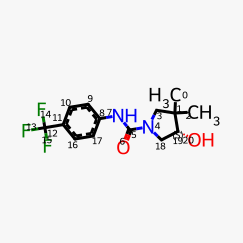 CC1(C)CN(C(=O)Nc2ccc(C(F)(F)F)cc2)C[C@H]1O